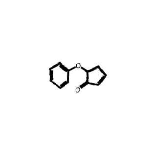 O=C1C=CCC1Oc1ccccc1